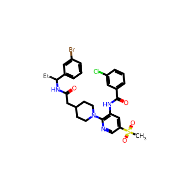 CCC(NC(=O)CC1CCN(c2ncc(S(C)(=O)=O)cc2NC(=O)c2cccc(Cl)c2)CC1)c1cccc(Br)c1